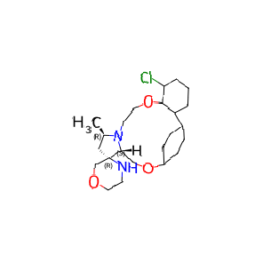 C[C@@H]1C[C@]2(COCCN2)[C@H]2COC3CCC(CC3)C3CCCC(Cl)C3OCCN12